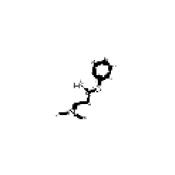 CN(C)CCC(S)Oc1cc[c]cc1